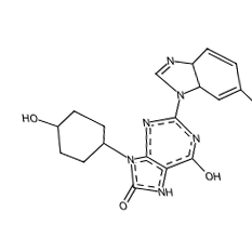 O=c1[nH]c2c(O)nc(N3C=NC4C=CC(F)=CC43)nc2n1C1CCC(O)CC1